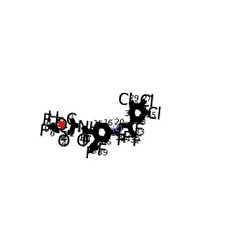 CC(CS(=O)(=O)CC(F)(F)F)NC(=O)c1ccc(/C(F)=C/C(c2cc(Cl)c(Cl)c(Cl)c2)C(F)(F)F)cc1C(F)(F)F